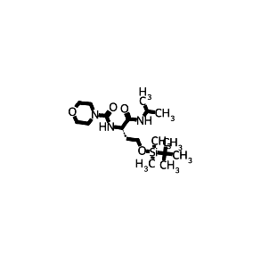 CC(C)NC(=O)[C@H](CCO[Si](C)(C)C(C)(C)C)NC(=O)N1CCOCC1